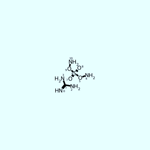 N=C(N)N.NOS(=O)(=O)ON